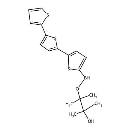 CC(C)(O)C(C)(C)OBc1ccc(-c2ccc(-c3cccs3)s2)s1